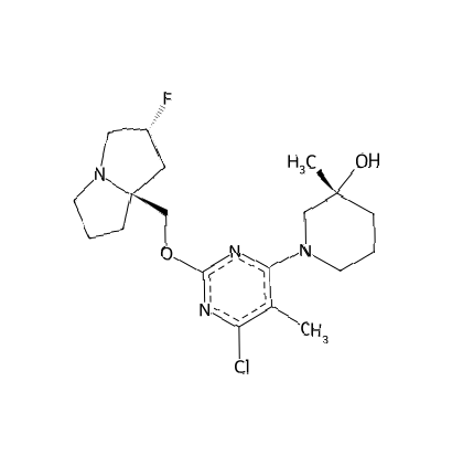 Cc1c(Cl)nc(OC[C@@]23CCCN2C[C@H](F)C3)nc1N1CCC[C@@](C)(O)C1